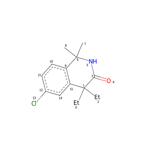 CCC1(CC)C(=O)NC(C)(C)c2ccc(Cl)cc21